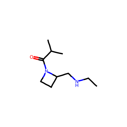 CCNCC1CCN1C(=O)C(C)C